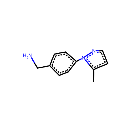 Cc1ccnn1-c1ccc(CN)cc1